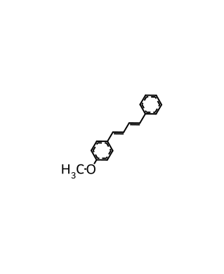 COc1ccc(/C=C/C=C/c2ccccc2)cc1